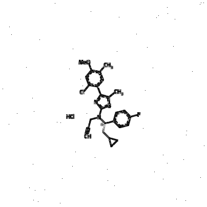 C#CCN(c1nc(-c2cc(C)c(OC)cc2Cl)c(C)s1)[C@@H](CC1CC1)c1ccc(F)cc1.Cl